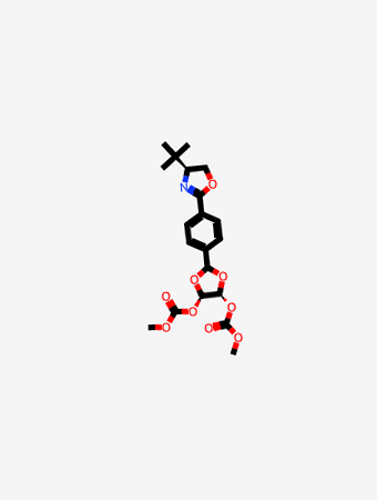 COC(=O)O[C@H]1OC(c2ccc(C3=N[C@@H](C(C)(C)C)CO3)cc2)O[C@@H]1OC(=O)OC